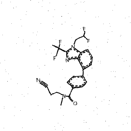 CN(CCC#N)C(=O)c1ccc(-c2cccc3c2nc(C(C)(F)F)n3CC(F)F)cc1